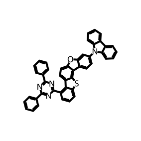 c1ccc(-c2nc(-c3ccccc3)nc(-c3cccc4sc5c(ccc6oc7cc(-n8c9ccccc9c9ccccc98)ccc7c65)c34)n2)cc1